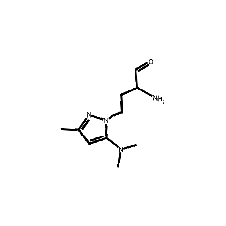 Cc1cc(N(C)C)n(CCC(N)C=O)n1